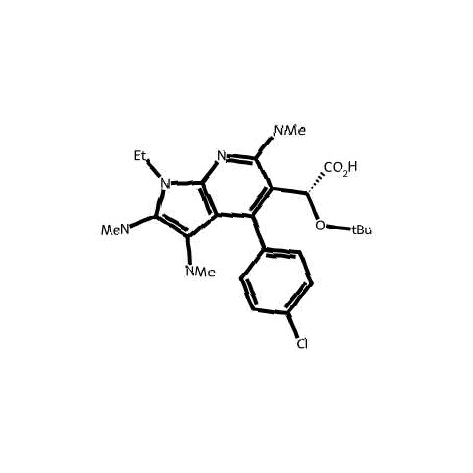 CCn1c(NC)c(NC)c2c(-c3ccc(Cl)cc3)c([C@@H](OC(C)(C)C)C(=O)O)c(NC)nc21